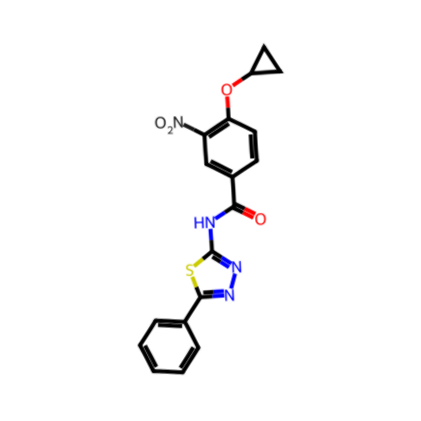 O=C(Nc1nnc(-c2ccccc2)s1)c1ccc(OC2CC2)c([N+](=O)[O-])c1